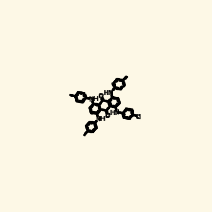 Cc1ccc(Nc2ccc(Nc3ccc(C)cc3)c3c2C(=O)c2c(Nc4ccc(C)cc4)ccc(Nc4ccc(Cl)cc4)c2C3=O)cc1